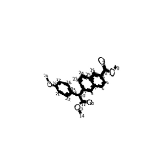 COC(=O)c1ccc2cc(C(C(=O)OC)c3ccc(OC)cc3)ccc2c1